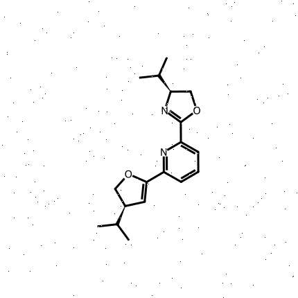 CC(C)[C@@H]1C=C(c2cccc(C3=N[C@@H](C(C)C)CO3)n2)OC1